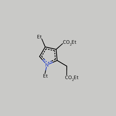 CCOC(=O)Cc1c(C(=O)OCC)c(CC)cn1CC